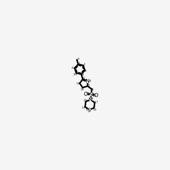 Cc1ccc(C2=NC(CS(=O)(=O)N3CCSCC3)CC2)cc1